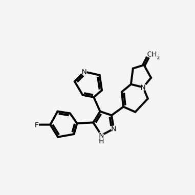 C=C1CC2C=C(c3n[nH]c(-c4ccc(F)cc4)c3-c3ccncc3)CCN2C1